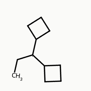 CC[C](C1CCC1)C1CCC1